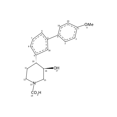 COc1ccc(-c2cccc([C@H]3CCN(C(=O)O)C[C@@H]3O)c2)cc1